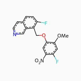 COc1cc(F)c([N+](=O)[O-])cc1OCc1c(F)ccc2ccncc12